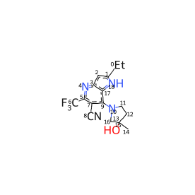 CCc1cc2nc(C(F)(F)F)c(C#N)c(N3CCC(C)(O)C3)c2[nH]1